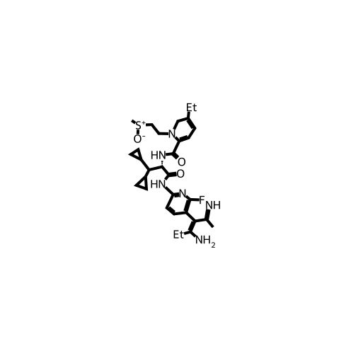 CCC1=CC=C(C(=O)N[C@H](C(=O)Nc2ccc(/C(C(C)=N)=C(/N)CC)c(F)n2)C(C2CC2)C2CC2)N(CC[S+](C)[O-])C1